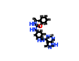 CC(NC(=O)Nc1ccc(Nc2ncnc3[nH]ncc23)cc1)c1ccccc1